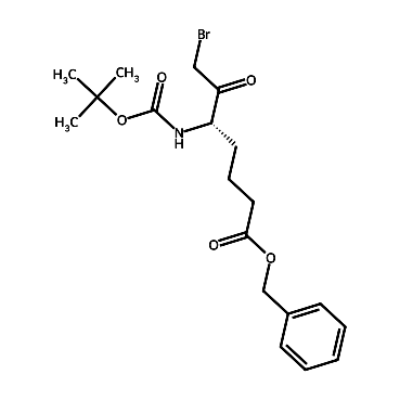 CC(C)(C)OC(=O)N[C@@H](CCCC(=O)OCc1ccccc1)C(=O)CBr